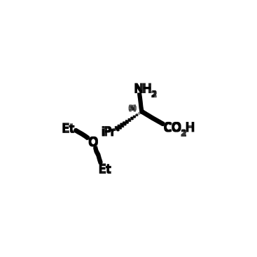 CC(C)[C@H](N)C(=O)O.CCOCC